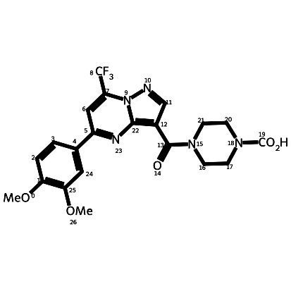 COc1ccc(-c2cc(C(F)(F)F)n3ncc(C(=O)N4CCN(C(=O)O)CC4)c3n2)cc1OC